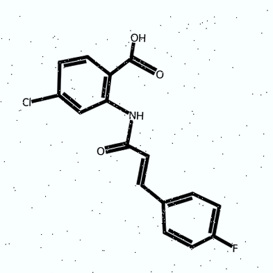 O=C(C=Cc1ccc(F)cc1)Nc1cc(Cl)ccc1C(=O)O